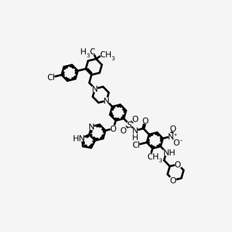 Cc1c(Cl)c(C(=O)NS(=O)(=O)c2ccc(N3CCN(CC4=C(c5ccc(Cl)cc5)CC(C)(C)CC4)CC3)cc2Oc2cnc3[nH]ccc3c2)cc([N+](=O)[O-])c1NCC1COCCO1